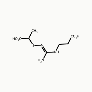 CC(SN=C(N)NCCC(=O)O)C(=O)O